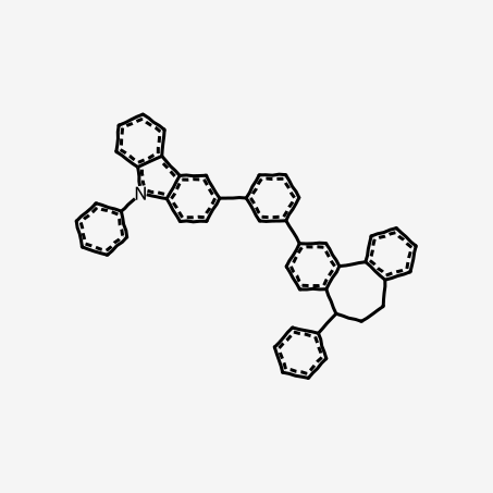 c1ccc(C2CCc3ccccc3-c3cc(-c4cccc(-c5ccc6c(c5)c5ccccc5n6-c5ccccc5)c4)ccc32)cc1